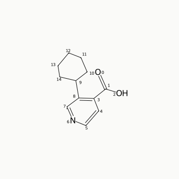 O=C(O)c1ccn[c]c1C1CCCCC1